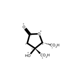 O=C1C[C@](O)(C(=O)O)[C@@H](C(=O)O)O1